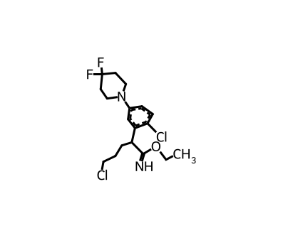 CCOC(=N)C(CCCCl)c1cc(N2CCC(F)(F)CC2)ccc1Cl